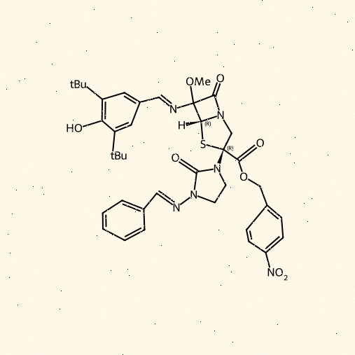 COC1(N=Cc2cc(C(C)(C)C)c(O)c(C(C)(C)C)c2)C(=O)N2C[C@@](C(=O)OCc3ccc([N+](=O)[O-])cc3)(N3CCN(N=Cc4ccccc4)C3=O)S[C@@H]21